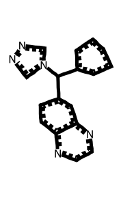 c1ccc(C(c2ccc3nccnc3c2)n2cnnc2)cc1